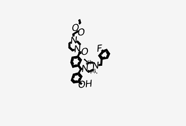 CCOC(=O)CN1CCCN(C(=O)c2cccc(C(c3cccc(O)c3)N3C[C@@H](C)N(Cc4cccc(F)c4)C[C@@H]3C)c2)CC1